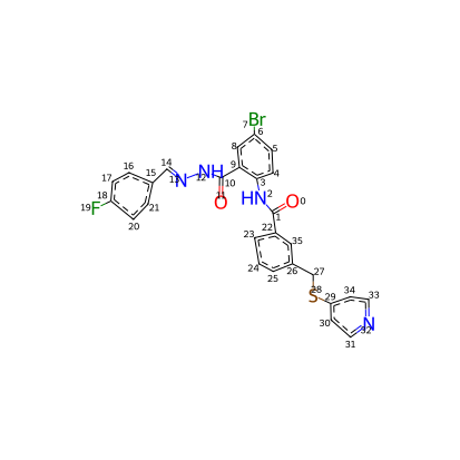 O=C(Nc1ccc(Br)cc1C(=O)NN=Cc1ccc(F)cc1)c1cccc(CSc2ccncc2)c1